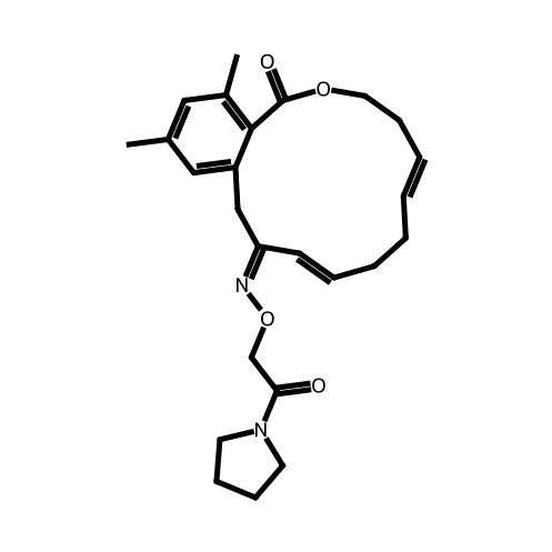 Cc1cc(C)c2c(c1)CC(=N/OCC(=O)N1CCCC1)/C=C/CC/C=C/CCOC2=O